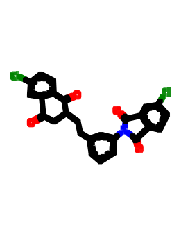 O=C1CC(CCc2cccc(N3C(=O)c4ccc(Cl)cc4C3=O)c2)C(=O)c2ccc(Cl)cc21